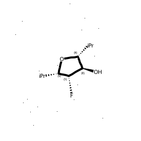 CC(C)[C@H]1O[C@@H](C(C)C)[C@@H](F)[C@@H]1O